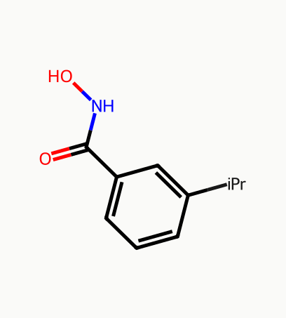 CC(C)c1cccc(C(=O)NO)c1